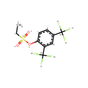 CCS(=O)(=O)Oc1ccc(C(F)(F)F)cc1C(F)(F)F